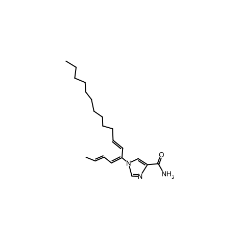 CC=CC=C(C=CCCCCCCCCCC)n1cnc(C(N)=O)c1